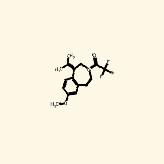 COc1ccc2c(c1)CCN(C(=O)C(F)(F)F)CC2=C(C)C